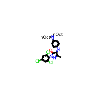 CCCCCCCCN(CCCCCCCC)c1ccc(/N=C2\C(=O)N(c3c(Cl)cc(Cl)cc3Cl)N=C2C)cc1